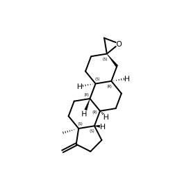 C=C1CC[C@H]2[C@@H]3CC[C@@H]4C[C@@]5(CC[C@@H]4[C@H]3CC[C@]12C)CO5